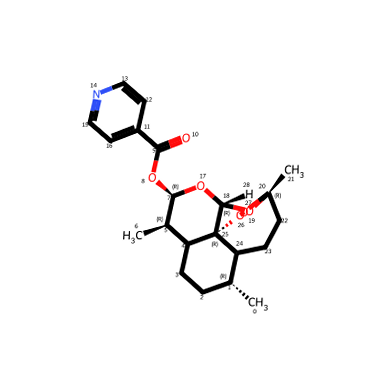 C[C@@H]1CCC2[C@@H](C)[C@@H](OC(=O)c3ccncc3)O[C@@H]3O[C@@]4(C)CCC1[C@@]23OO4